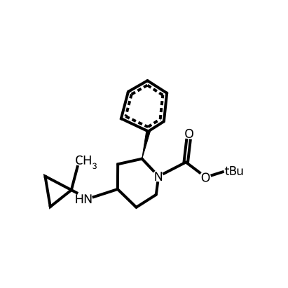 CC1(NC2CCN(C(=O)OC(C)(C)C)[C@H](c3ccccc3)C2)CC1